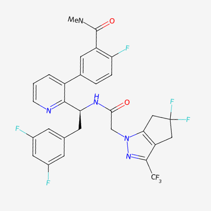 CNC(=O)c1cc(-c2cccnc2[C@H](Cc2cc(F)cc(F)c2)NC(=O)Cn2nc(C(F)(F)F)c3c2CC(F)(F)C3)ccc1F